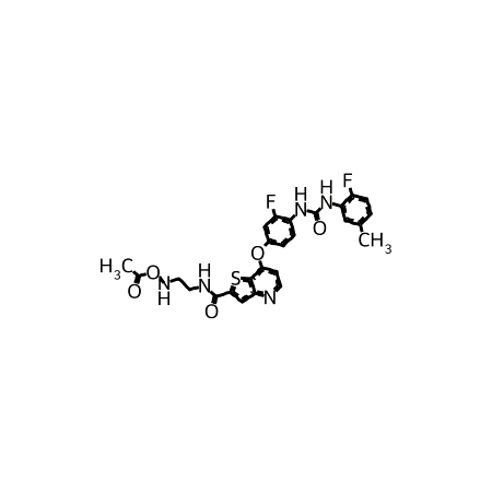 CC(=O)ONCCNC(=O)c1cc2nccc(Oc3ccc(NC(=O)Nc4cc(C)ccc4F)c(F)c3)c2s1